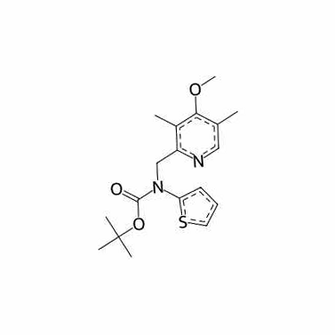 COc1c(C)cnc(CN(C(=O)OC(C)(C)C)c2cccs2)c1C